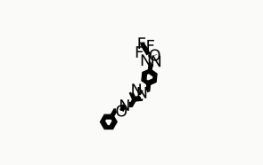 FC(F)(F)c1nc(-c2ccc(Cn3cc(C=NOCc4ccccc4)cn3)cc2)no1